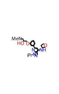 CNCC(O)COc1cccc(-c2cc(NC3CCOC3)c3cnn(C(C)C)c3n2)c1